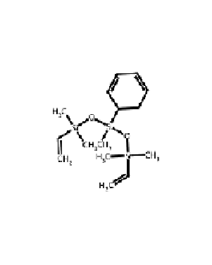 C=C[Si](C)(C)O[Si](C)(O[Si](C)(C)C=C)C1C=CC=CC1